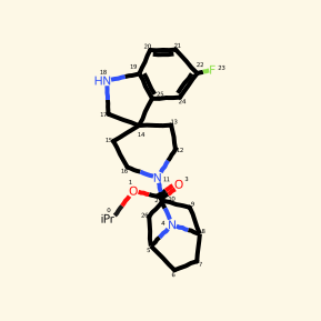 CC(C)OC(=O)N1C2CCC1CC(N1CCC3(CC1)CNc1ccc(F)cc13)C2